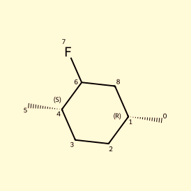 C[C@@H]1CC[C@H](C)C(F)C1